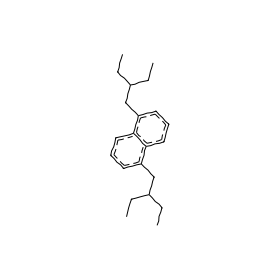 CCC(CC)Cc1cccc2c(CC(CC)CC)cccc12